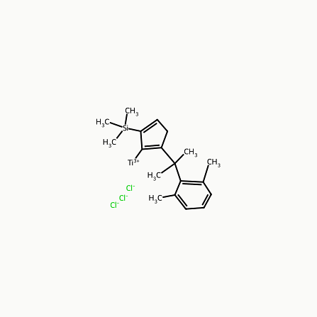 Cc1cccc(C)c1C(C)(C)C1=[C]([Ti+3])C([Si](C)(C)C)=CC1.[Cl-].[Cl-].[Cl-]